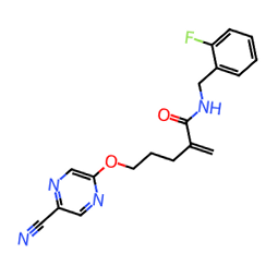 C=C(CCCOc1cnc(C#N)cn1)C(=O)NCc1ccccc1F